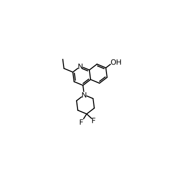 CCc1cc(N2CCC(F)(F)CC2)c2ccc(O)cc2n1